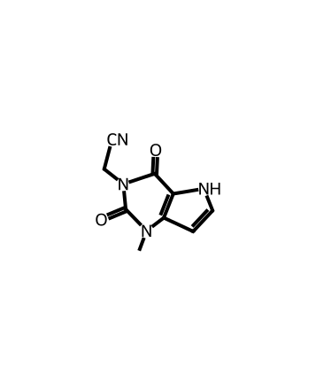 Cn1c(=O)n(CC#N)c(=O)c2[nH]ccc21